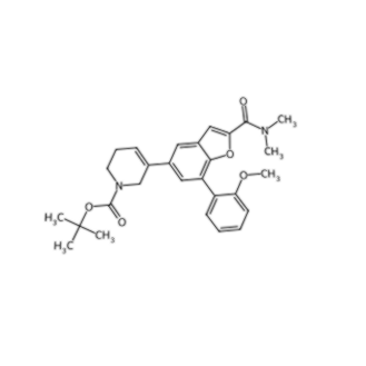 COc1ccccc1-c1cc(C2=CCCN(C(=O)OC(C)(C)C)C2)cc2cc(C(=O)N(C)C)oc12